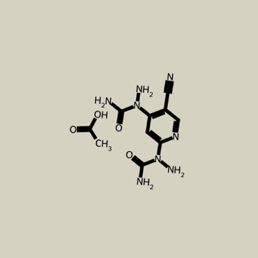 CC(=O)O.N#Cc1cnc(N(N)C(N)=O)cc1N(N)C(N)=O